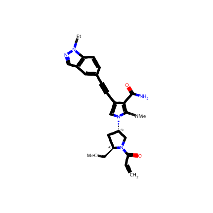 C=CC(=O)N1C[C@@H](n2cc(C#Cc3ccc4c(cnn4CC)c3)c(C(N)=O)c2NC)C[C@@H]1COC